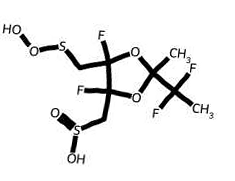 CC(F)(F)C1(C)OC(F)(CSOO)C(F)(CS(=O)O)O1